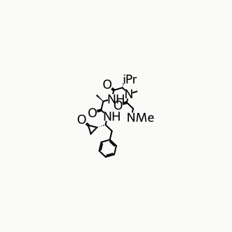 CNCC(=O)N(C)[C@H](C(=O)N[C@H](C)C(=O)NC(Cc1ccccc1)[C@@H]1CC1=O)C(C)C